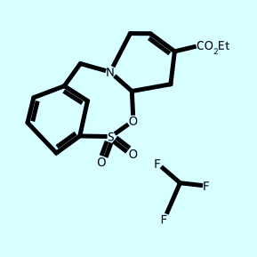 CCOC(=O)C1=CCN2Cc3cccc(c3)S(=O)(=O)OC2C1.FC(F)F